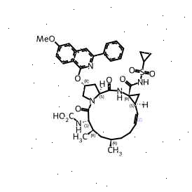 COc1ccc2c(O[C@@H]3C[C@H]4C(=O)N[C@]5(C(=O)NS(=O)(=O)C6CC6)C[C@H]5/C=C\CC[C@@H](C)C[C@@H](C)[C@H](NC(=O)O)C(=O)N4C3)nc(-c3ccccc3)cc2c1